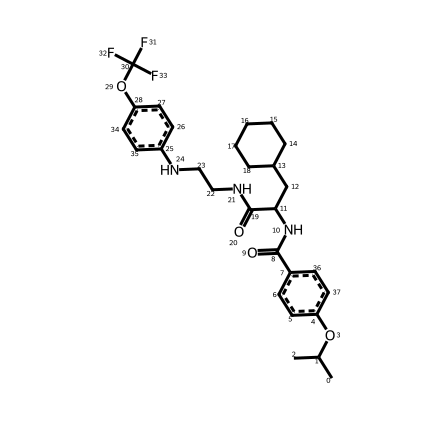 CC(C)Oc1ccc(C(=O)NC(CC2CCCCC2)C(=O)NCCNc2ccc(OC(F)(F)F)cc2)cc1